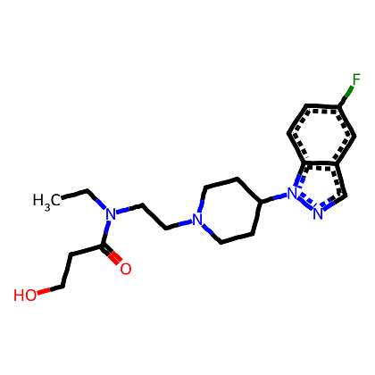 CCN(CCN1CCC(n2ncc3cc(F)ccc32)CC1)C(=O)CCO